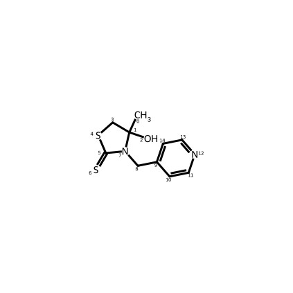 CC1(O)CSC(=S)N1Cc1ccncc1